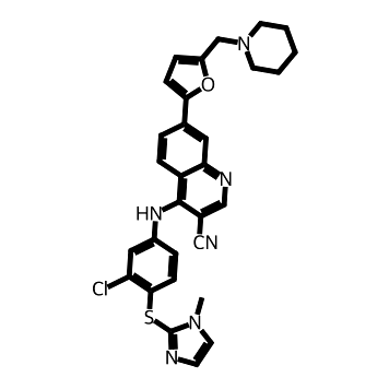 Cn1ccnc1Sc1ccc(Nc2c(C#N)cnc3cc(-c4ccc(CN5CCCCC5)o4)ccc23)cc1Cl